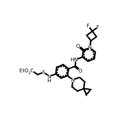 CCOC(=O)CSNc1ccc(C(=O)Nc2cccn(C3CC(F)(F)C3)c2=O)c(N2CCC3(CC2)CC3)c1